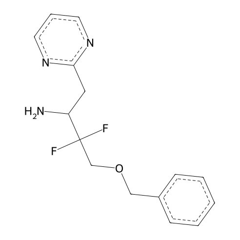 NC(Cc1ncccn1)C(F)(F)COCc1ccccc1